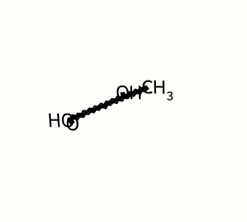 CCCCCCCCC(O)CCCCCCCCCCCCCCCCCCC(=O)O